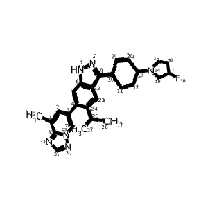 Cc1cc(-c2cc3[nH]nc(C4CCC(N5CCC(F)C5)CC4)c3cc2C(C)C)cn2ncnc12